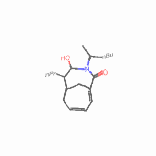 CCCCC(C)N1C(=O)C2=CC=CCC(C2)C(CCC)C1O